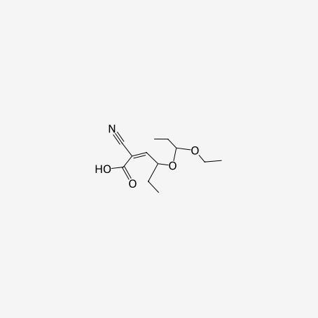 CCOC(CC)OC(C=C(C#N)C(=O)O)CC